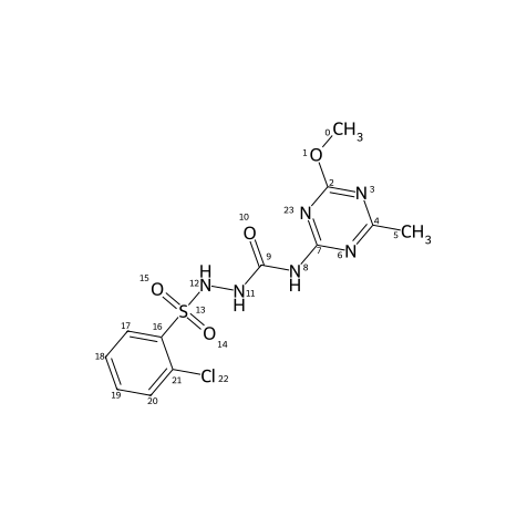 COc1nc(C)nc(NC(=O)NNS(=O)(=O)c2ccccc2Cl)n1